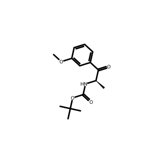 COc1cccc(C(=O)[C@@H](C)NC(=O)OC(C)(C)C)c1